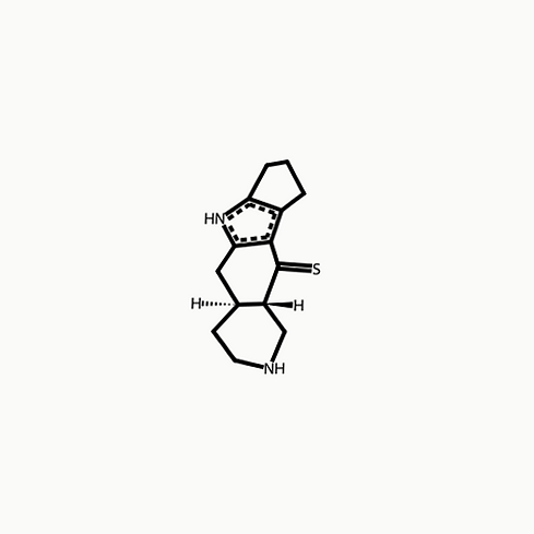 S=C1c2c([nH]c3c2CCC3)C[C@@H]2CCNC[C@@H]12